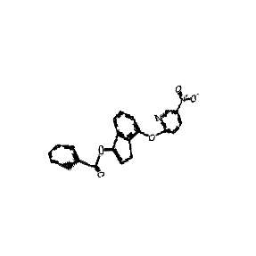 O=C(OC1=CCc2c(Oc3ccc([N+](=O)[O-])cn3)cccc21)c1ccccc1